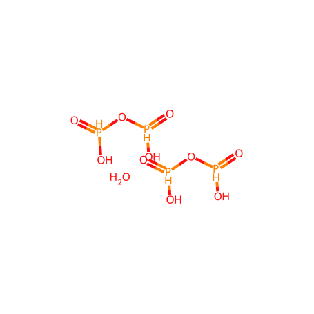 O.O=[PH](O)O[PH](=O)O.O=[PH](O)O[PH](=O)O